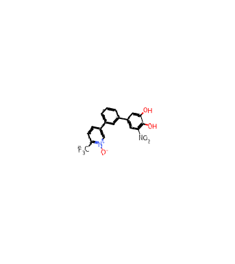 O=[N+]([O-])c1cc(-c2cccc(-c3ccc(C(F)(F)F)[n+]([O-])c3)c2)cc(O)c1O